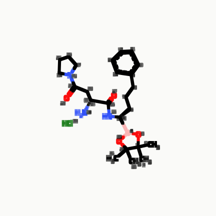 CC1(C)OB([C@H](CCCc2ccccc2)NC(=O)[C@H](N)CC(=O)N2CCCC2)OC1(C)C.Cl